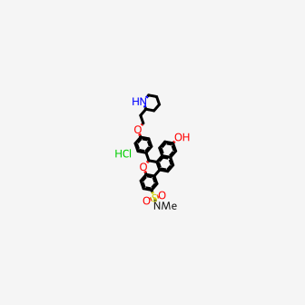 CNS(=O)(=O)c1ccc2c(c1)-c1ccc3cc(O)ccc3c1C(c1ccc(OCCC3CCCCN3)cc1)O2.Cl